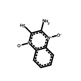 Nc1c(S)[n+]([O-])c2ccccc2[n+]1[O-]